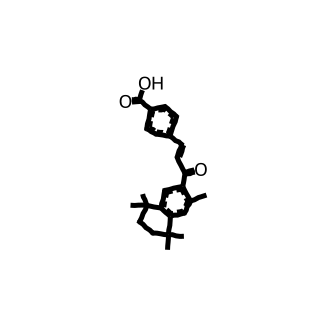 Cc1cc2c(cc1C(=O)C=Cc1ccc(C(=O)O)cc1)C(C)(C)CCC2(C)C